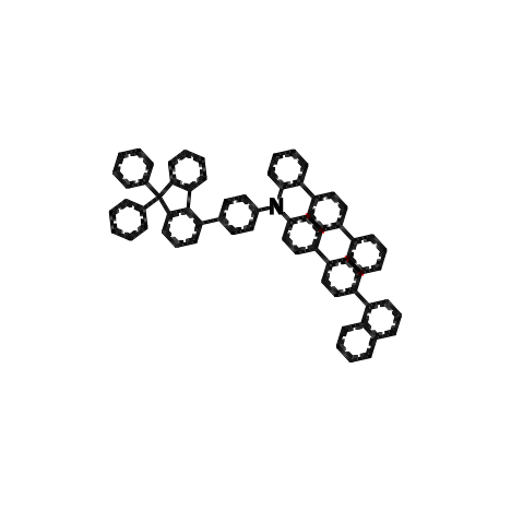 c1ccc(-c2ccc(-c3ccccc3N(c3ccc(-c4ccc(-c5cccc6ccccc56)cc4)cc3)c3ccc(-c4cccc5c4-c4ccccc4C5(c4ccccc4)c4ccccc4)cc3)cc2)cc1